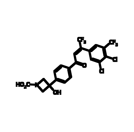 O=C(/C=C(\c1cc(Cl)c(Cl)c(C(F)(F)F)c1)C(F)(F)F)c1ccc(C2(O)CN(C(=O)O)C2)cc1